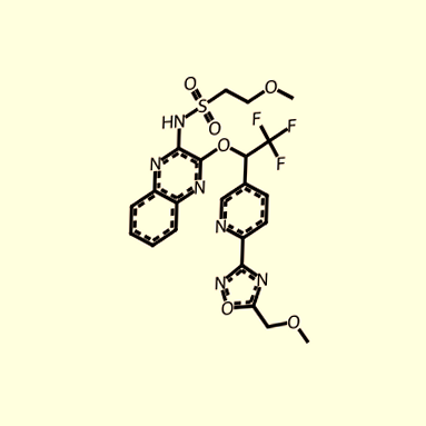 COCCS(=O)(=O)Nc1nc2ccccc2nc1OC(c1ccc(-c2noc(COC)n2)nc1)C(F)(F)F